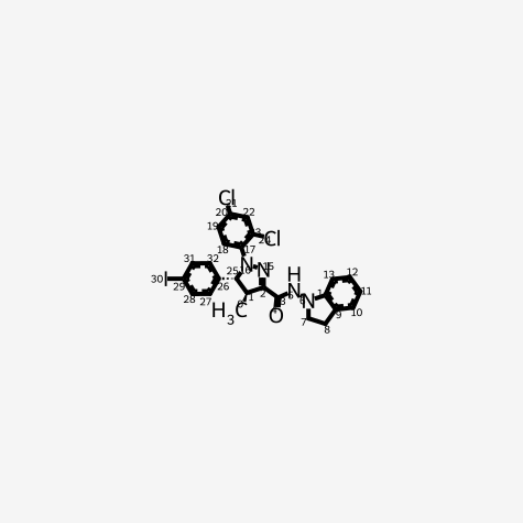 C[C@@H]1C(C(=O)NN2CCc3ccccc32)=NN(c2ccc(Cl)cc2Cl)[C@H]1c1ccc(I)cc1